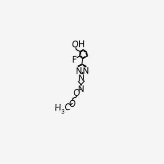 COCCON=C1CN(c2ncc(-c3cccc(CO)c3F)cn2)C1